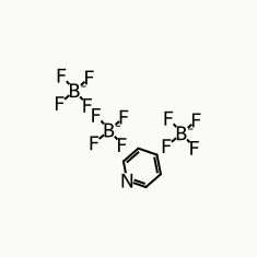 F[B-](F)(F)F.F[B-](F)(F)F.F[B-](F)(F)F.c1ccncc1